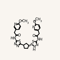 COc1ccc(CC(=O)NC2=NNN([C@H]3CCC(c4nnc(NC(=O)Cc5ccc(OC)nc5)s4)C3)S2)cn1